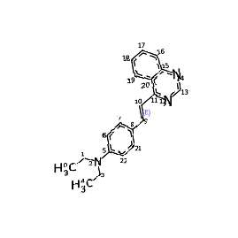 CCN(CC)c1ccc(/C=C/c2ncnc3ccccc23)cc1